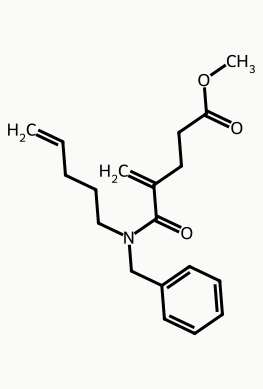 C=CCCCN(Cc1ccccc1)C(=O)C(=C)CCC(=O)OC